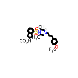 C[C@@H]1CN(CCCc2ccc(OC(F)(F)F)cc2)C[C@H](C)N1S(=O)(=O)c1cccc2c1CC(C(=O)O)C2